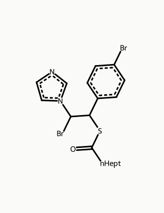 CCCCCCCC(=O)SC(c1ccc(Br)cc1)C(Br)n1ccnc1